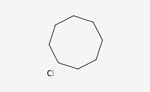 C1CCCCCCC1.[C]